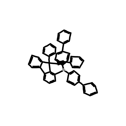 C(#CC1(c2ccccc2)c2ccccc2-c2cccc(N(c3ccc(-c4ccccc4)cc3)c3ccc(-c4ccccc4)cc3)c21)c1ccccc1